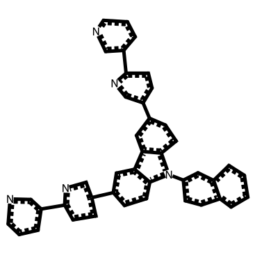 c1cncc(-c2ccc(-c3ccc4c(c3)c3cc(-c5ccc(-c6cccnc6)nc5)ccc3n4-c3ccc4ccccc4c3)cn2)c1